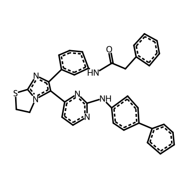 O=C(Cc1ccccc1)Nc1cccc(-c2nc3n(c2-c2ccnc(Nc4ccc(-c5ccccc5)cc4)n2)CCS3)c1